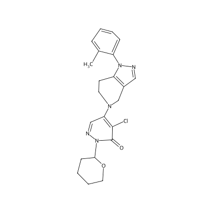 Cc1ccccc1-n1ncc2c1CCN(c1cnn(C3CCCCO3)c(=O)c1Cl)C2